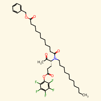 CCCCCCCCCCCN(C(=O)CCCCCCCCCC(=O)OCc1ccccc1)[C@H](CCC(=O)Oc1c(F)c(F)c(F)c(F)c1F)C(C)=O